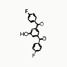 O=C(c1ccc(F)cc1)c1cc(O)cc(C(=O)c2ccc(F)cc2)c1